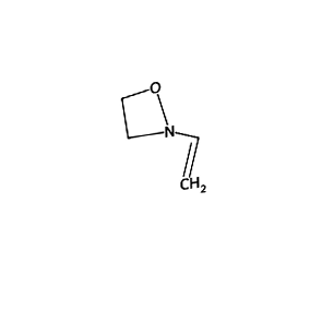 C=CN1CCO1